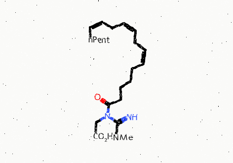 CCCCC/C=C\C/C=C\C/C=C\CCCCC(=O)N(CC(=O)O)C(=N)NC